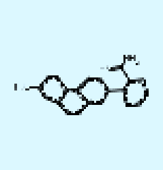 Cc1ccc2c(ccc3cc(-c4ccccc4C(=N)N)ccc32)c1